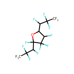 FC(C1OC(F)(C(F)C(F)(F)C(F)(F)F)C(F)(F)C1F)C(F)(F)C(F)(F)F